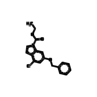 CCOC(=O)n1ccc2c(Cl)cc(OCc3ccccc3)cc21